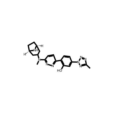 Cc1nnn(-c2ccc(-c3ccc(N(C)C4C[C@H]5CC[C@@H](C4)N5)nn3)c(O)c2)n1